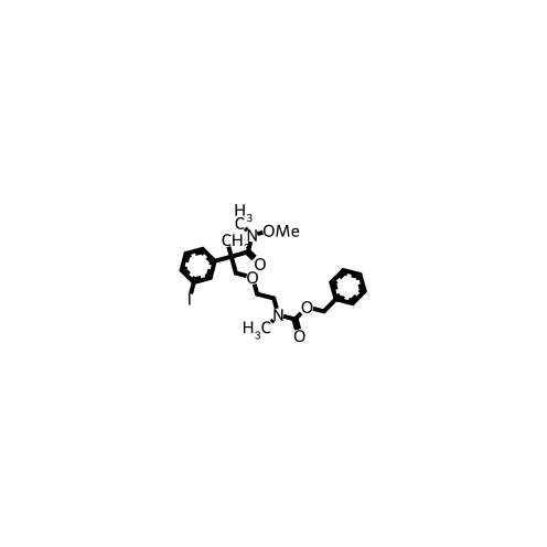 CON(C)C(=O)C(C)(COCCN(C)C(=O)OCc1ccccc1)c1cccc(I)c1